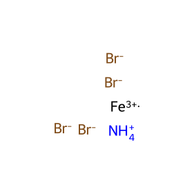 [Br-].[Br-].[Br-].[Br-].[Fe+3].[NH4+]